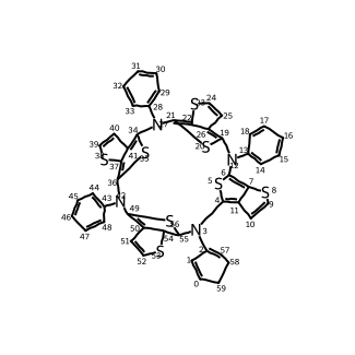 C1=CC(N2c3sc(c4sccc34)N(c3ccccc3)c3sc(c4sccc34)N(c3ccccc3)c3sc(c4sccc34)N(c3ccccc3)C3=C4C=CSC4C2S3)=CCC1